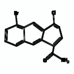 NC(=O)c1ccc(Cl)c2cc3c(Br)cccc3cc12